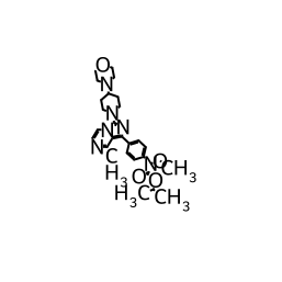 CON(C(=O)OC(C)C)c1ccc(-c2nc(N3CCC(N4CCOCC4)CC3)n3ccnc(C)c23)cc1